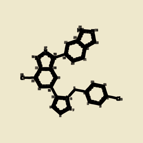 Clc1ccc(Cn2nccc2-c2cc(Cl)c3nnn(-c4ccc5cn[nH]c5c4)c3c2)cc1